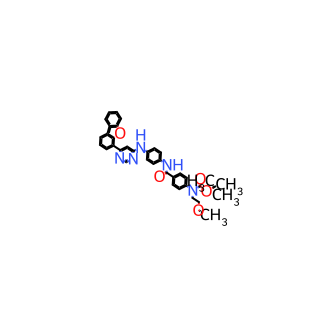 COCCN(C(=O)OC(C)(C)C)c1ccc(C(=O)Nc2ccc(Nc3cc(-c4cccc5c4oc4ccccc45)ncn3)cc2)cc1